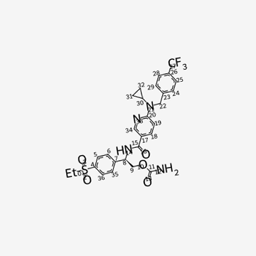 CCS(=O)(=O)c1ccc([C@H](COC(N)=O)NC(=O)c2ccc(N(Cc3ccc(C(F)(F)F)cc3)C3CC3)nc2)cc1